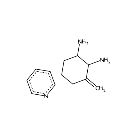 C=C1CCCC(N)C1N.c1ccncc1